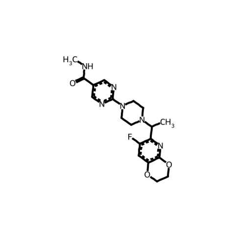 CNC(=O)c1cnc(N2CCN(C(C)c3nc4c(cc3F)OCCO4)CC2)nc1